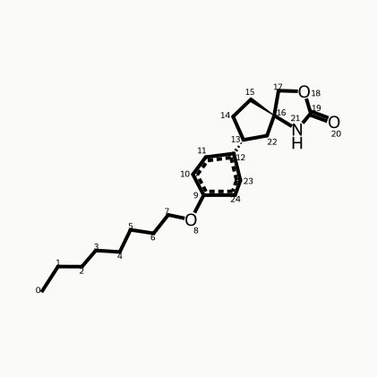 CCCCCCCCOc1ccc([C@@H]2CC[C@]3(COC(=O)N3)C2)cc1